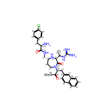 CCC(NC(=N)N)[C@@H]1N[C@@H](CNC(=O)[C@H](N)Cc2ccc(Cl)cc2)CCN([C@@H](Cc2ccc3ccccc3c2)C(=O)NC)C1=O